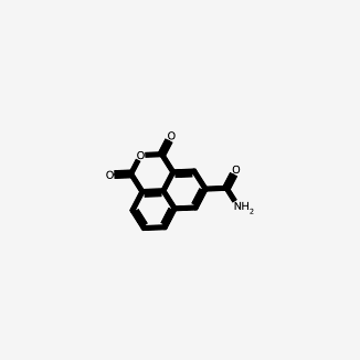 NC(=O)c1cc2c3c(cccc3c1)C(=O)OC2=O